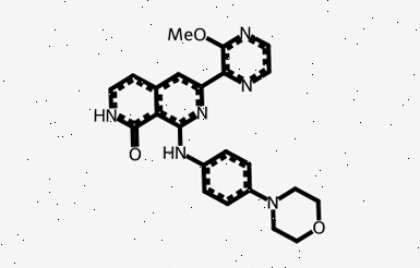 COc1nccnc1-c1cc2cc[nH]c(=O)c2c(Nc2ccc(N3CCOCC3)cc2)n1